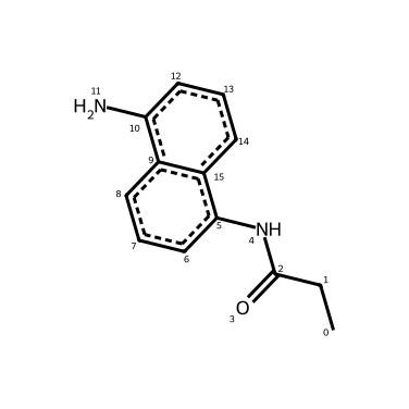 CCC(=O)Nc1cccc2c(N)cccc12